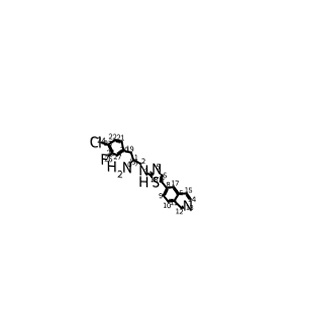 N[C@H](CNc1ncc(-c2ccc3cnccc3c2)s1)Cc1ccc(Cl)c(F)c1